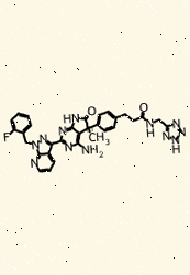 C[C@]1(c2ccc(CCC(=O)NCc3nn[nH]n3)cc2)C(=O)Nc2nc(-c3nn(Cc4ccccc4F)c4ncccc34)nc(N)c21